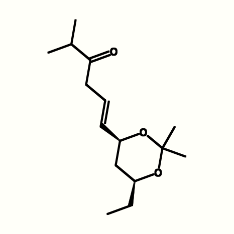 CC[C@H]1C[C@@H](/C=C/CC(=O)C(C)C)OC(C)(C)O1